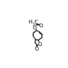 CC(=O)OC1C=CCC2OC(=O)CC2CC1